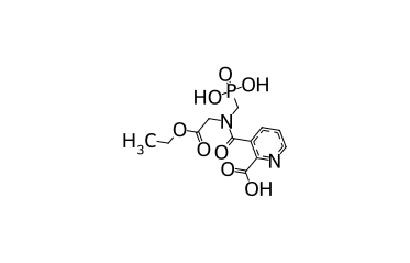 CCOC(=O)CN(CP(=O)(O)O)C(=O)c1cccnc1C(=O)O